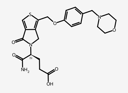 NC(=O)[C@H](CCC(=O)O)N1Cc2c(csc2COc2ccc(CN3CCOCC3)cc2)C1=O